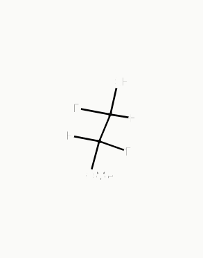 [CH]OC(F)(F)C(F)(F)C(F)(F)F